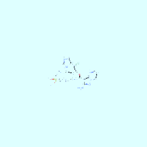 CC(C)C(NC(=O)c1c(N)nn2cccnc12)c1cc(Cl)c2cncn2c1N1CCS(=O)(=O)CC1